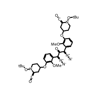 COc1c(OC2CCN(OC(C)(C)C)C(=C=O)C2)cccc1C(=[N+]=[N-])C(=O)C(=[N+]=[N-])c1cccc(OC2CCN(OC(C)(C)C)C(=C=O)C2)c1OC